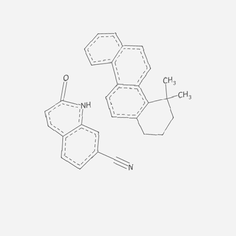 CC1(C)CCCc2ccc3c(ccc4ccccc43)c21.N#Cc1ccc2ccc(=O)[nH]c2c1